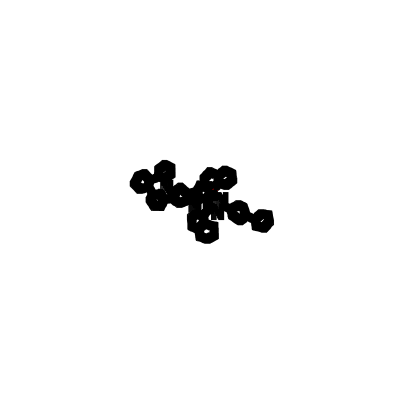 c1ccc(-c2ccc(-c3nc(-c4cccc5ccccc45)nc(-c4c(-n5c6ccccc6c6cc7c(cc65)c5cccc6c5n7-c5ccccc5-c5ccccc5-6)ccc5ccccc45)n3)cc2)cc1